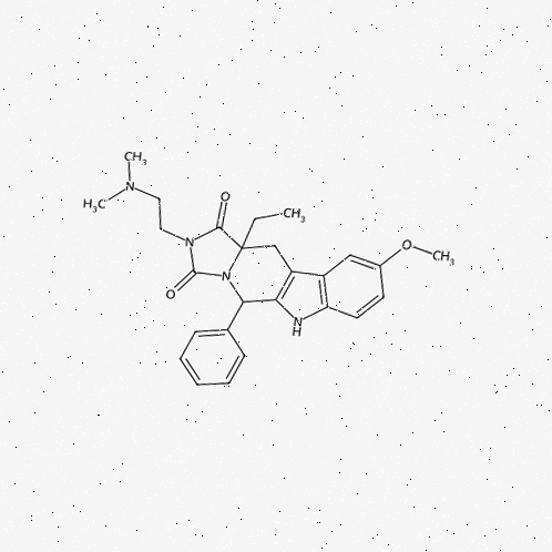 CCC12Cc3c([nH]c4ccc(OC)cc34)C(c3ccccc3)N1C(=O)N(CCN(C)C)C2=O